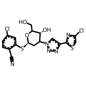 N#Cc1ccc(Cl)cc1S[C@@H]1CC(n2cc(-c3nc(Cl)cs3)nn2)[C@@H](O)C(CO)O1